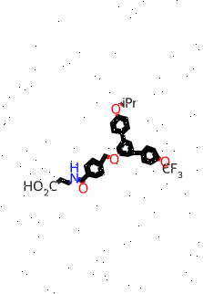 CC(C)Oc1ccc(-c2cc(OCc3ccc(C(=O)NCCC(=O)O)cc3)cc(-c3ccc(OC(F)(F)F)cc3)c2)cc1